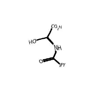 CC(C)C(=O)NC(O)C(=O)O